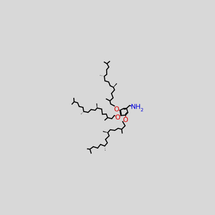 CC(C)CCC[C@@H](C)CCC[C@@H](C)CCCC(C)CCOc1cc(CN)cc(OCCC(C)CCC[C@H](C)CCC[C@H](C)CCCC(C)C)c1OCCC(C)CCC[C@H](C)CCC[C@H](C)CCCC(C)C